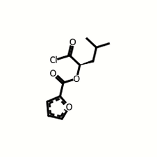 CC(C)C[C@@H](OC(=O)c1ccco1)C(=O)Cl